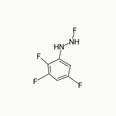 FNNc1cc(F)cc(F)c1F